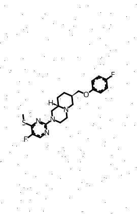 CSc1nc(N2CCN3C[C@H](COc4ccc(F)cc4)CC[C@H]3C2)ncc1F